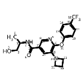 CC(CO)NC(=O)c1cnc(Oc2ccc(C(F)(F)F)cc2)c(N2CCC2)c1